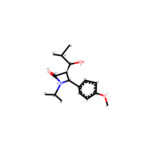 COc1ccc(C2[C@H](C(O)C(C)C)C(=O)N2C(C)C)cc1